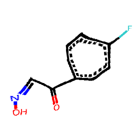 O=C(/C=N\O)c1ccc(F)cc1